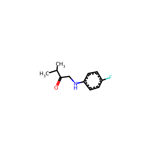 CC(C)C(=O)CNc1ccc(F)cc1